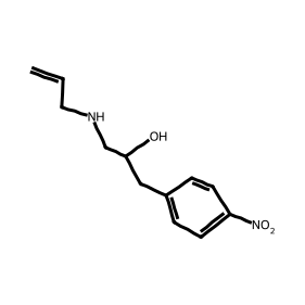 C=CCNCC(O)Cc1ccc([N+](=O)[O-])cc1